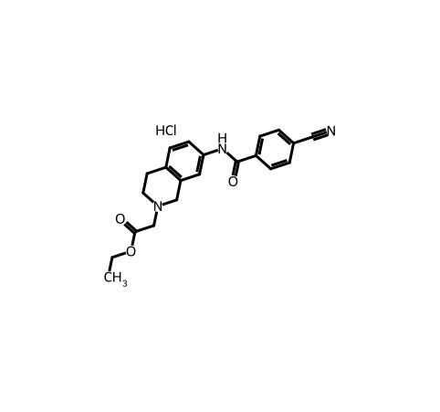 CCOC(=O)CN1CCc2ccc(NC(=O)c3ccc(C#N)cc3)cc2C1.Cl